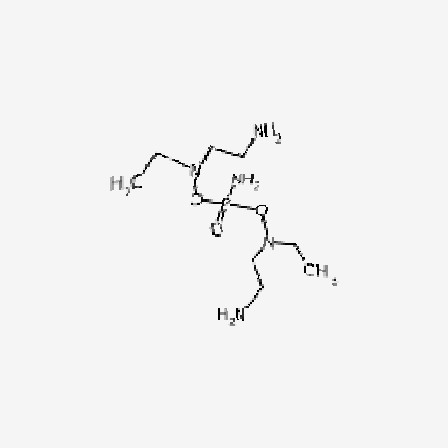 CCN(CCN)OP(N)(=O)ON(CC)CCN